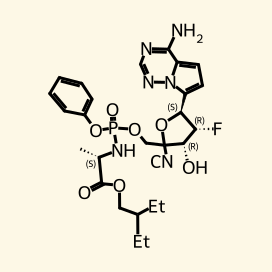 CCC(CC)COC(=O)[C@H](C)NP(=O)(OCC1(C#N)O[C@@H](c2ccc3c(N)ncnn23)[C@H](F)[C@@H]1O)Oc1ccccc1